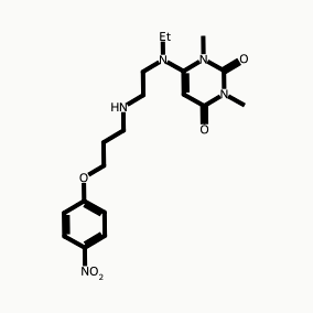 CCN(CCNCCCOc1ccc([N+](=O)[O-])cc1)c1cc(=O)n(C)c(=O)n1C